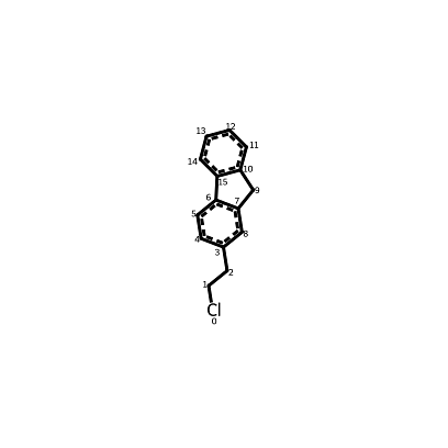 ClCCc1ccc2c(c1)Cc1ccccc1-2